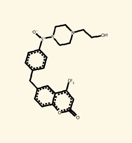 O=c1cc(C(F)(F)F)c2cc(Cc3ccc([S+]([O-])N4CCN(CCO)CC4)cc3)ccc2o1